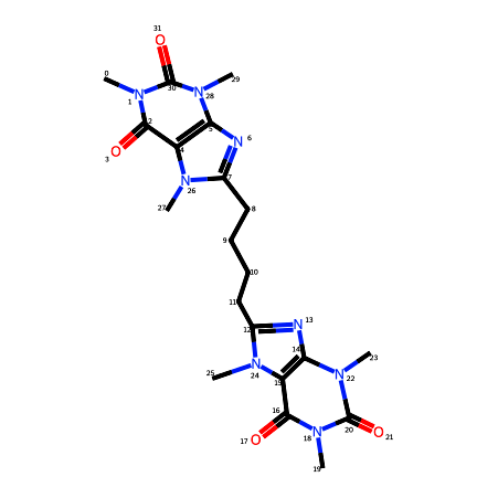 Cn1c(=O)c2c(nc(CCCCc3nc4c(c(=O)n(C)c(=O)n4C)n3C)n2C)n(C)c1=O